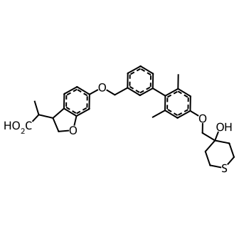 Cc1cc(OCC2(O)CCSCC2)cc(C)c1-c1cccc(COc2ccc3c(c2)OCC3C(C)C(=O)O)c1